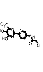 CCOC(=O)c1nc(-c2ccc(NC(=O)CCl)cn2)nc(O)c1O